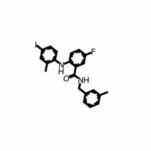 Cc1cccc(CNC(=O)c2cc(F)ccc2Nc2ccc(I)cc2C)c1